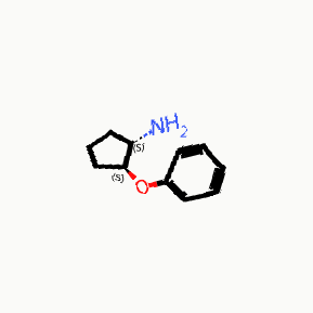 N[C@H]1CCC[C@@H]1Oc1ccccc1